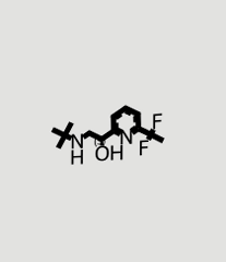 CC(C)(C)NC[C@H](O)c1cccc(C(C)(F)F)n1